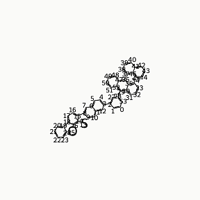 c1cc(-c2ccc3cc4c(cc3c2)sc2c4ccc3c4ccccc4oc32)cc(-c2c3ccccc3c(-c3cccc4ccccc34)c3ccccc23)c1